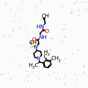 C#CCNC(=O)CNC(=O)CN(SC)C1CCN(C(C)c2cccc(C)c2C)CC1